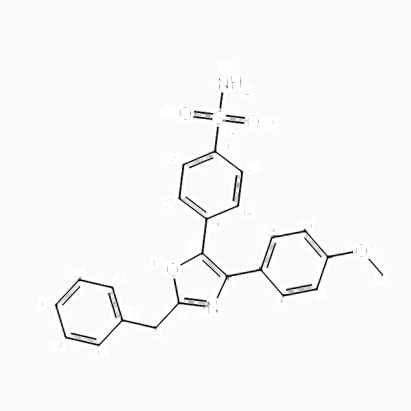 COc1ccc(-c2nc(Cc3ccccc3)oc2-c2ccc(S(N)(=O)=O)cc2)cc1